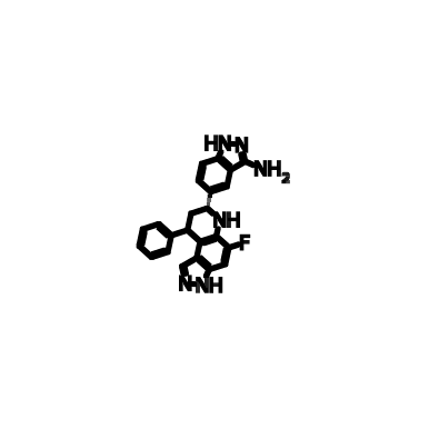 Nc1n[nH]c2ccc([C@H]3CC(c4ccccc4)c4c(c(F)cc5[nH]ncc45)N3)cc12